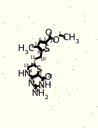 CCOC(=O)c1cc(C)c(CC[C@H]2CNc3nc(N)[nH]c(=O)c3S2)s1